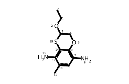 CCOC1COc2c(N)cc(C)c(N)c2S1